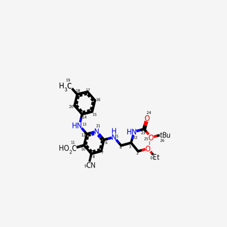 CCOCC(CNc1cc(C#N)c(C(=O)O)c(Nc2cccc(C)c2)n1)NC(=O)OC(C)(C)C